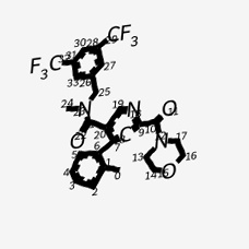 Cc1ccccc1-c1cc(C(=O)N2CCOCC2)ncc1C(=O)N(C)Cc1cc(C(F)(F)F)cc(C(F)(F)F)c1